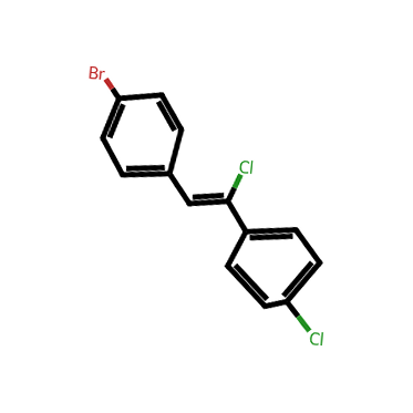 Cl/C(=C\c1ccc(Br)cc1)c1ccc(Cl)cc1